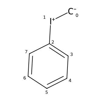 [CH2-][I+]c1ccccc1